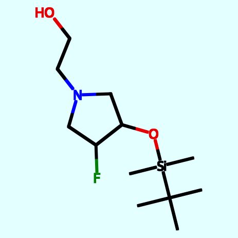 CC(C)(C)[Si](C)(C)OC1CN(CCO)CC1F